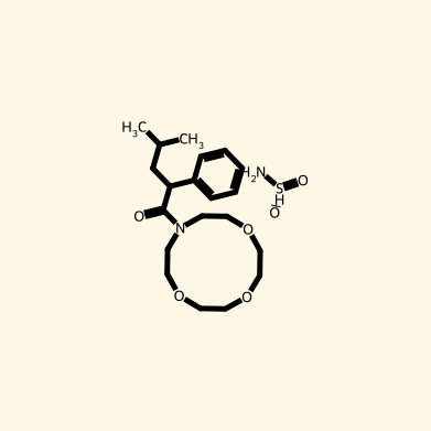 CC(C)CC(C(=O)N1CCOCCOCCOCC1)c1ccccc1.N[SH](=O)=O